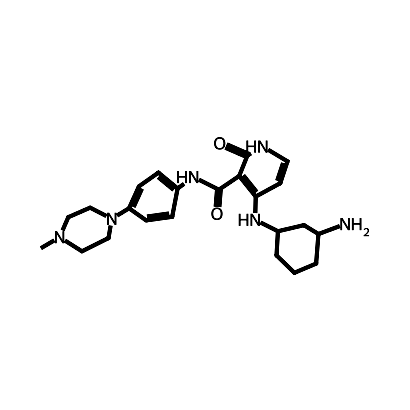 CN1CCN(c2ccc(NC(=O)c3c(NC4CCCC(N)C4)cc[nH]c3=O)cc2)CC1